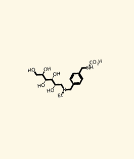 CCN(Cc1ccc(CNC(=O)O)cc1)C[C@H](O)[C@@H](O)[C@H](O)[C@H](O)CO